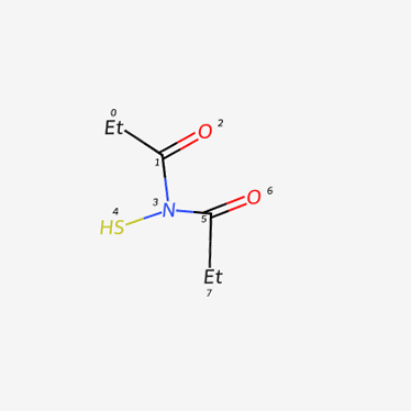 CCC(=O)N(S)C(=O)CC